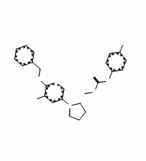 O=C(OC[C@@H]1CCCN1c1cnc(OCc2ccccc2)c(C(F)(F)F)c1)Oc1ccc([N+](=O)[O-])cc1